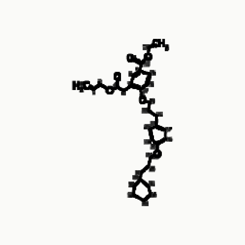 C=CCOC(=O)Cc1cc(C(=O)OCC)ccc1OCCCc1ccc(OCCCC2CCCCC2)cc1